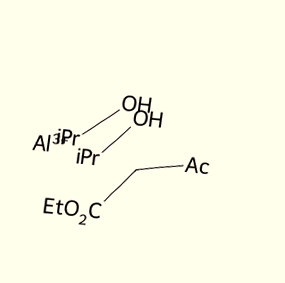 CC(C)O.CC(C)O.CCOC(=O)CC(C)=O.[Al+3]